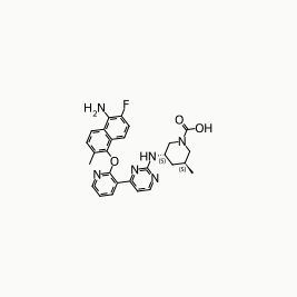 Cc1ccc2c(N)c(F)ccc2c1Oc1ncccc1-c1ccnc(N[C@H]2C[C@H](C)CN(C(=O)O)C2)n1